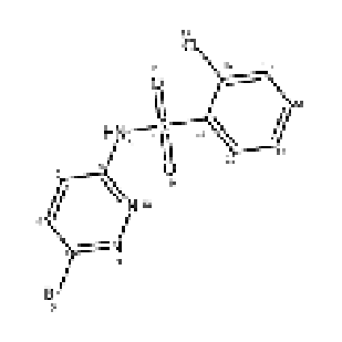 O=S(=O)(Nc1ccc(Br)nn1)c1ccccc1Cl